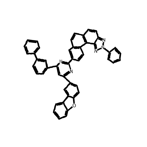 c1ccc(-c2cccc(-c3cc(-c4ccc5oc6ccccc6c5c4)nc(-c4ccc5c(ccc6ccc7nn(-c8ccccc8)nc7c65)c4)n3)c2)cc1